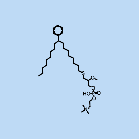 CCCCCCCCCC(CCCCCCCCSCC(COP(=O)(O)OCC[N+](C)(C)C)OC)c1ccccc1